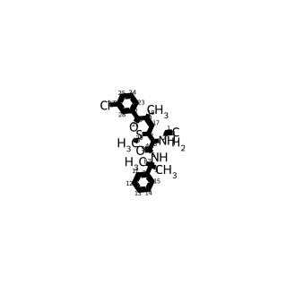 C=CNC(C(=O)NC(C)(C)c1ccccc1)C(/C=C(/C)C(=O)c1cccc(Cl)c1)SC